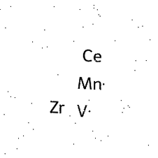 [Ce].[Mn].[V].[Zr]